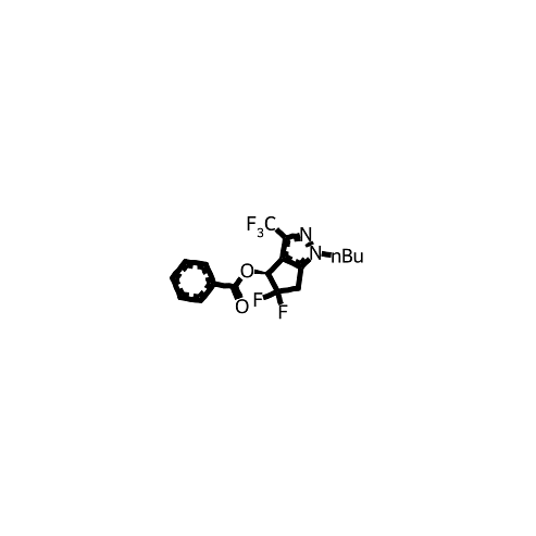 CCCCn1nc(C(F)(F)F)c2c1CC(F)(F)[C@H]2OC(=O)c1ccccc1